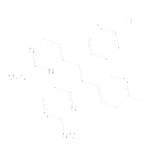 CNc1nccc(C(c2ccc(Cl)nc2)C(c2ccc(Cl)nc2)c2ccnc(NC)n2)n1